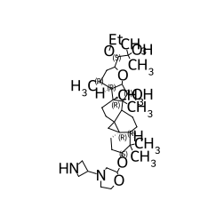 CCO[C@@H](C1C[C@@H](C)[C@H]2C(O1)[C@H](O)C1(C)C3CC[C@H]4C(C)(C)[C@@H](OC5CN(C6CNC6)CCO5)CC[C@@]45CC35CC[C@]21C)C(C)(C)O